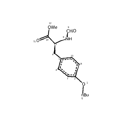 CCCCOc1ccc(C[C@H](NC=O)C(=O)OC)cc1